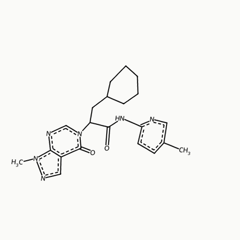 Cc1ccc(NC(=O)C(CC2CCCCC2)n2cnc3c(cnn3C)c2=O)nc1